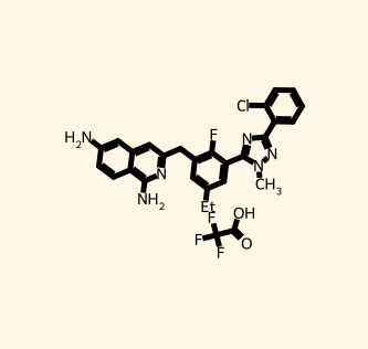 CCc1cc(Cc2cc3cc(N)ccc3c(N)n2)c(F)c(-c2nc(-c3ccccc3Cl)nn2C)c1.O=C(O)C(F)(F)F